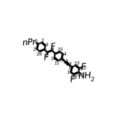 CCCc1ccc(/C(F)=C(\F)c2ccc(C#Cc3cc(F)c(N)c(F)c3)cc2)cc1